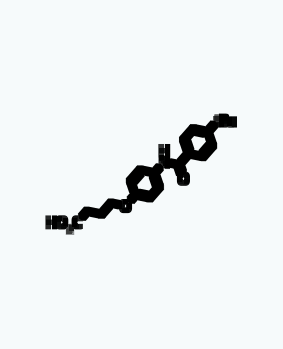 CC(C)(C)c1ccc(C(=O)Nc2ccc(OCCCC(=O)O)cc2)cc1